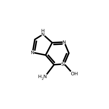 Nc1c2nc[nH]c2nc[si]1O